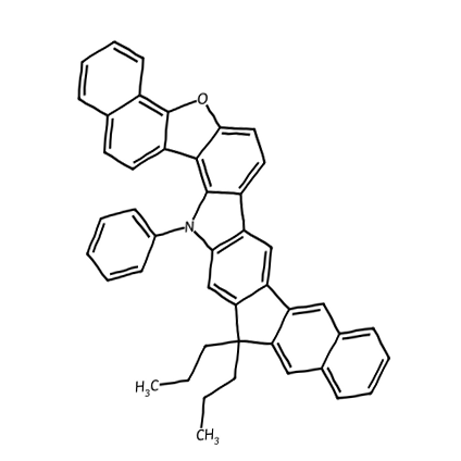 CCCC1(CCC)c2cc3ccccc3cc2-c2cc3c4ccc5oc6c7ccccc7ccc6c5c4n(-c4ccccc4)c3cc21